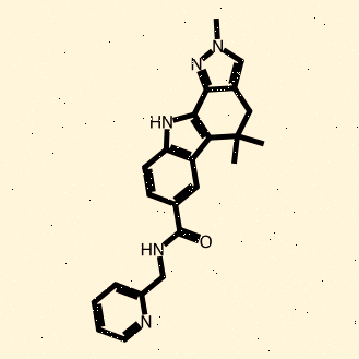 Cn1cc2c(n1)-c1[nH]c3ccc(C(=O)NCc4ccccn4)cc3c1C(C)(C)C2